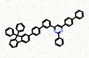 c1ccc(-c2ccc(-c3cc(-c4cccc(-c5ccc(-c6ccc7c(c6)C(c6ccccc6)(c6ccccc6)c6ccccc6-7)cc5)c4)nc(-c4ccccc4)n3)cc2)cc1